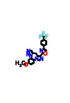 COc1ccc2c(c1)-n1nncc1Cc1c(-c3nc(-c4ccc(C(F)(F)F)cc4)co3)ncn1-2